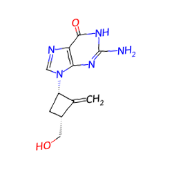 C=C1[C@H](CO)C[C@@H]1n1cnc2c(=O)[nH]c(N)nc21